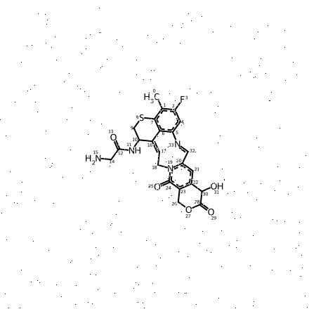 Cc1c(F)cc2c3c1SCC(NC(=O)CN)/C3=C\Cn1c(cc3c(c1=O)COC(=O)C3O)/C=N/2